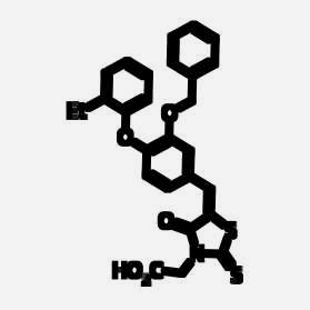 CCc1ccccc1Oc1ccc(C=C2SC(=S)N(CC(=O)O)C2=O)cc1OCc1ccccc1